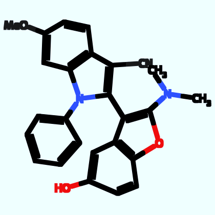 COc1ccc2c(C#N)c(-c3c(N(C)C)oc4ccc(O)cc34)n(-c3ccccc3)c2c1